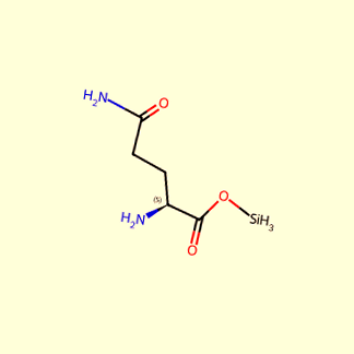 NC(=O)CC[C@H](N)C(=O)O[SiH3]